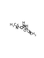 Cc1cnc(-c2ccc3c(C(=O)NC4CC5CC4CN5C)n[nH]c3c2)s1